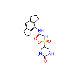 CN1CC(S(=O)(=O)NC(=O)Nc2c3c(cc4c2CCC4)CCC3)CNC1=O